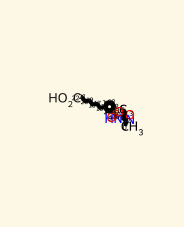 Cc1noc(C)c1NS(=O)(=O)c1cccc(CCCCCCC(=O)O)c1